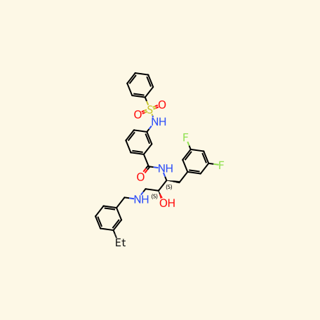 CCc1cccc(CNC[C@H](O)[C@H](Cc2cc(F)cc(F)c2)NC(=O)c2cccc(NS(=O)(=O)c3ccccc3)c2)c1